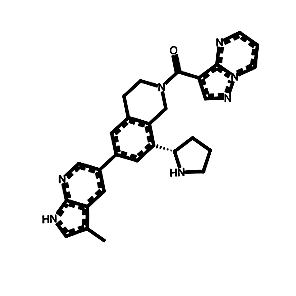 Cc1c[nH]c2ncc(-c3cc4c(c([C@@H]5CCCN5)c3)CN(C(=O)c3cnn5cccnc35)CC4)cc12